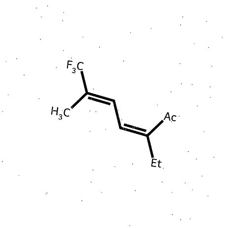 CC/C(=C/C=C(\C)C(F)(F)F)C(C)=O